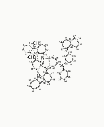 CC12CCCCC1(C)N1c3cccc4c3B(c3ccc(N(c5ccccc5)c5cccc(-c6cccc7ccccc67)c5)cc3N4c3cccc4c3oc3ccccc34)c3cccc2c31